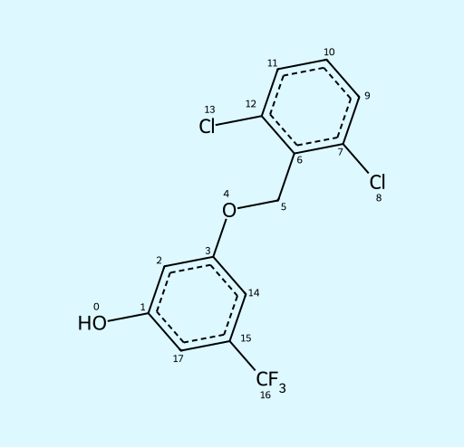 Oc1cc(OCc2c(Cl)cccc2Cl)cc(C(F)(F)F)c1